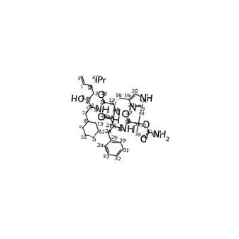 C=C[C@@H](C[C@@H](O)[C@H](CC1CCCCC1)NC(=O)[C@H](Cc1c[nH]cn1)NC(=O)[C@H](Cc1ccccc1)NC(=O)C(C)(C)OC(N)=O)C(C)C